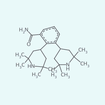 CC1(C)CC(c2cccc(C(N)=O)c2C2CC(C)(C)NC(C)(C)C2)CC(C)(C)N1